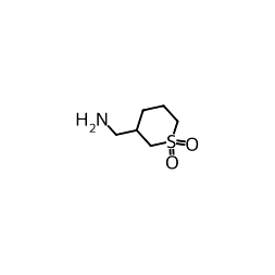 NCC1CCCS(=O)(=O)C1